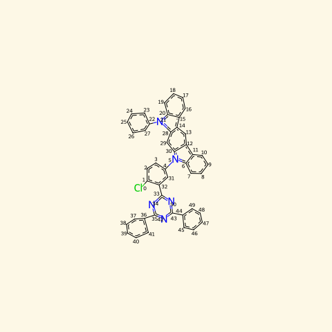 Clc1ccc(-n2c3ccccc3c3cc4c5ccccc5n(-c5ccccc5)c4cc32)cc1-c1nc(-c2ccccc2)nc(-c2ccccc2)n1